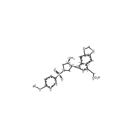 CC(C)Oc1ccc(S(=O)(=O)N2C[C@@H](C)[C@@H](n3nc(CC(=O)O)c4cc5c(cc43)OCO5)C2)nn1